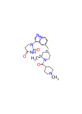 C[C@H]1C[C@H](Cc2ccn3ncc(N4CCC(=O)NC4=O)c3c2)CCN1C(=O)C1CCN(C)CC1